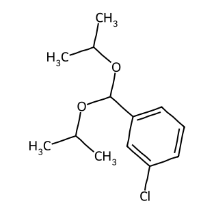 CC(C)OC(OC(C)C)c1cccc(Cl)c1